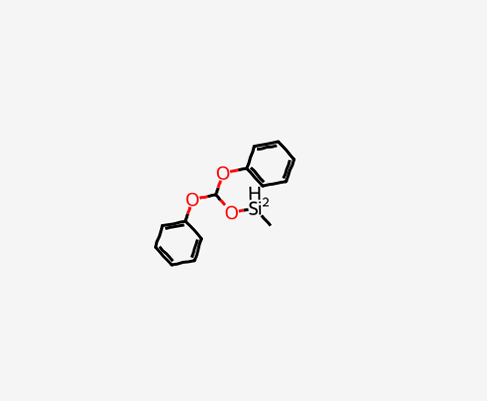 C[SiH2]OC(Oc1ccccc1)Oc1ccccc1